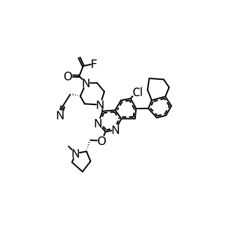 C=C(F)C(=O)N1CCN(c2nc(OC[C@@H]3CCCN3C)nc3cc(-c4cccc5c4CCCC5)c(Cl)cc23)C[C@@H]1CC#N